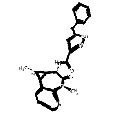 C[C@H]1C2c3cccnc3N(C)C(=O)[C@@H](NC(=O)c3cc(Cc4ccccc4)[nH]n3)C21